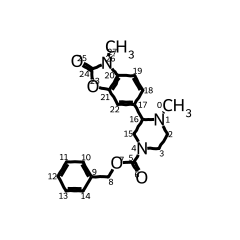 CN1CCN(C(=O)OCc2ccccc2)CC1c1ccc2c(c1)oc(=O)n2C